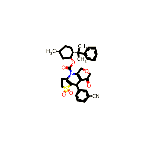 C[C@H]1CC[C@H](C(C)(C)c2ccccc2)[C@@H](OC(=O)N2C3=C(C(=O)COC3)C(c3cccc(C#N)c3)C3=C2CCS3(=O)=O)C1